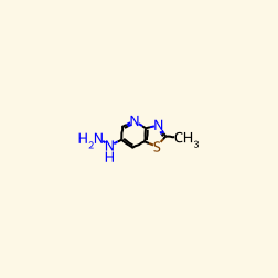 Cc1nc2ncc(NN)cc2s1